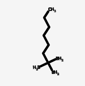 BC(B)(B)CCCCCC